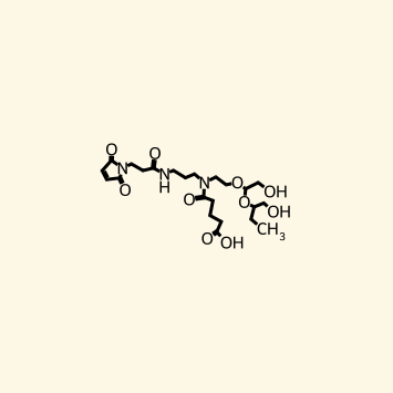 CCC(CO)OC(CO)OCCN(CCCNC(=O)CCN1C(=O)C=CC1=O)C(=O)CCCC(=O)O